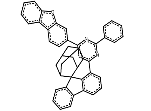 c1ccc(-c2nc(-c3ccc4c(c3)oc3ccccc34)nc(-c3cccc4c3C3(c5ccccc5-4)C4CC5CC(C4)CC3C5)n2)cc1